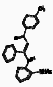 CC(=O)Nc1ccccc1NC(=CC(=O)c1ccc(C)cc1)c1ccccc1